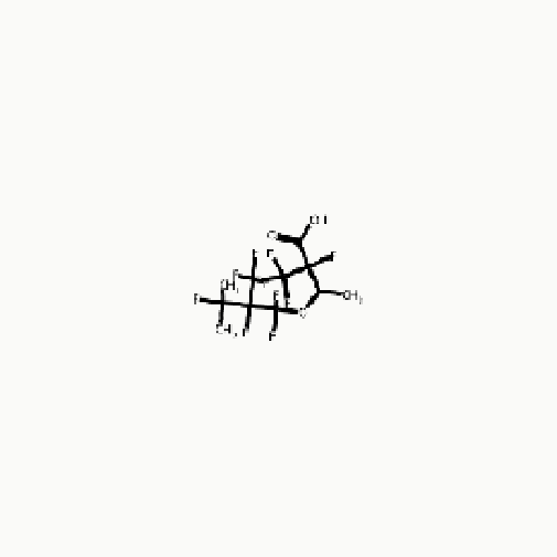 CC(OC(F)(F)C(F)(C(C)(C)F)C(F)(F)F)C(F)(C(=O)O)C(F)(F)F